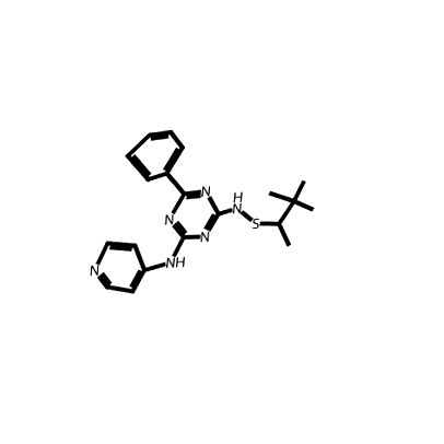 CC(SNc1nc(Nc2ccncc2)nc(-c2ccccc2)n1)C(C)(C)C